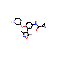 Cc1noc(C)c1-c1cc(NC(=O)C2CC2)ccc1O[C@@H]1CCCNC1